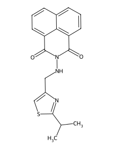 CC(C)c1nc(CNN2C(=O)c3cccc4cccc(c34)C2=O)cs1